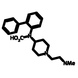 CNCCN1CCC(N(C(=O)O)c2ccccc2-c2ccccc2)CC1